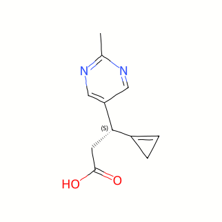 Cc1ncc([C@@H](CC(=O)O)C2=CC2)cn1